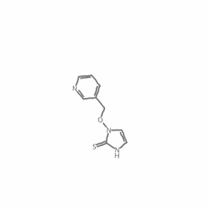 S=c1[nH]ccn1OCc1cccnc1